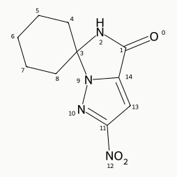 O=C1NC2(CCCCC2)n2nc([N+](=O)[O-])cc21